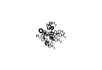 CC(C)C(=O)O[C@H]1[C@H](c2ccc3c(N)ncnn23)O[C@](C#N)(COP(=O)(N[C@@H](C)C(=O)O[C@@H]2CCN(C)C2)Oc2ccccc2)[C@H]1OC(=O)C(C)C